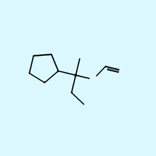 CCC(C)(OC=O)C1CCCC1